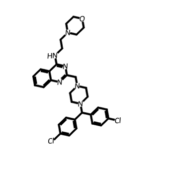 Clc1ccc(C(c2ccc(Cl)cc2)N2CCN(Cc3nc(NCCN4CCOCC4)c4ccccc4n3)CC2)cc1